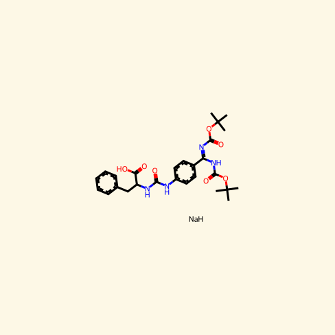 CC(C)(C)OC(=O)N=C(NC(=O)OC(C)(C)C)c1ccc(NC(=O)NC(Cc2ccccc2)C(=O)O)cc1.[NaH]